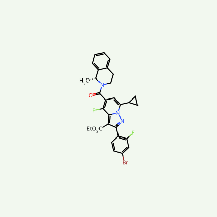 CCOC(=O)c1c(-c2ccc(Br)cc2F)nn2c(C3CC3)cc(C(=O)N3CCc4ccccc4[C@H]3C)c(F)c12